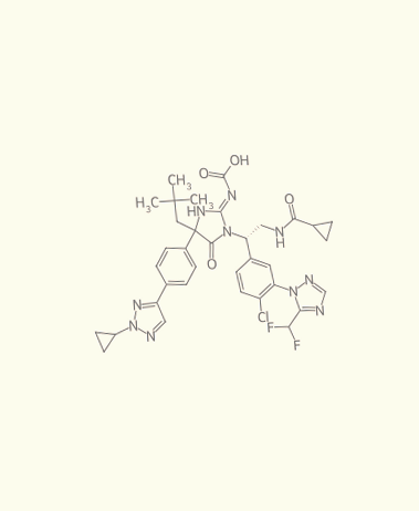 CC(C)(C)CC1(c2ccc(-c3cnn(C4CC4)n3)cc2)NC(=NC(=O)O)N([C@H](CNC(=O)C2CC2)c2ccc(Cl)c(-n3ncnc3C(F)F)c2)C1=O